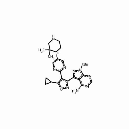 CC1(C)CNCC[C@@H]1c1cnc(-c2c(-c3nn(C(C)(C)C)c4ncnc(N)c34)noc2C2CC2)nc1